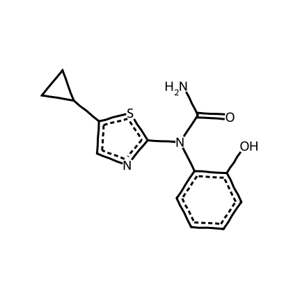 NC(=O)N(c1ncc(C2CC2)s1)c1ccccc1O